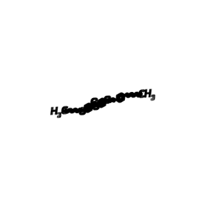 CCCCCCCOc1ccc(C(=O)Oc2ccc(OCCC[C@H]3CC[C@H](CCCCCCC)CC3)cc2)cc1